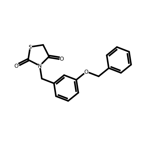 O=C1CSC(=O)N1Cc1cccc(OCc2ccccc2)c1